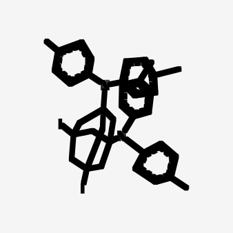 Cc1ccc(N(c2ccc(C)cc2)C23CC4(I)CC(I)(C2)CC(N(c2ccc(C)cc2)c2ccc(C)cc2)(C4)C3)cc1